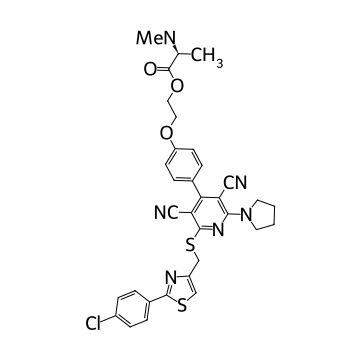 CN[C@@H](C)C(=O)OCCOc1ccc(-c2c(C#N)c(SCc3csc(-c4ccc(Cl)cc4)n3)nc(N3CCCC3)c2C#N)cc1